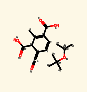 CC1=C(C(=O)O)C=CC(=C=O)C1C(=O)O.C[SiH](C)OC(C)(C)C